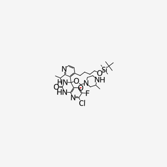 CC1CN(C(=O)OC2(c3c(CCCCO[Si](C)(C)C(C)(C)C)ccnc3C(C)C)NC(=O)Nc3nc(Cl)c(F)cc32)CCN1